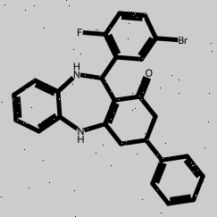 O=C1CC(c2ccccc2)CC2=C1C(c1cc(Br)ccc1F)Nc1ccccc1N2